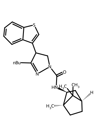 CCCCC1=NN(C(=O)N[C@H]2C[C@H]3CC[C@]2(C)C3(C)C)CC1c1csc2ccccc12